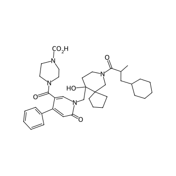 CC(CC1CCCCC1)C(=O)N1CCC(O)(Cn2cc(C(=O)N3CCN(C(=O)O)CC3)c(-c3ccccc3)cc2=O)C2(CCCC2)C1